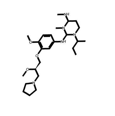 CCC(C)N1CCC(NC)N(C)C1Nc1ccc(OC)c(OC[C@@H](CN2CCCC2)OC)c1